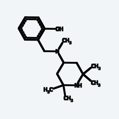 CN(Cc1ccccc1O)C1CC(C)(C)NC(C)(C)C1